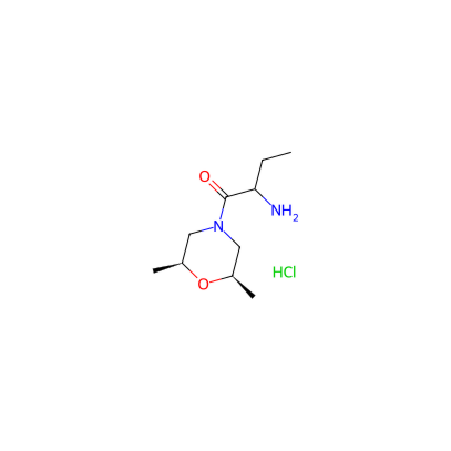 CCC(N)C(=O)N1C[C@@H](C)O[C@@H](C)C1.Cl